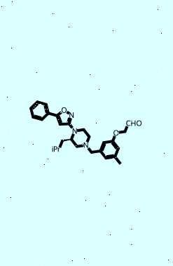 Cc1cc(CN2CCN(c3cc(-c4ccccc4)on3)[C@H](CC(C)C)C2)cc(OCC=O)c1